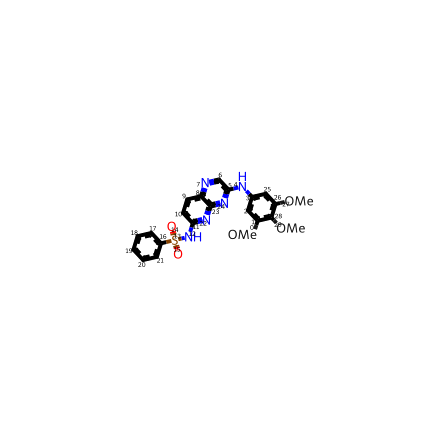 COc1cc(Nc2cnc3ccc(NS(=O)(=O)c4ccccc4)nc3n2)cc(OC)c1OC